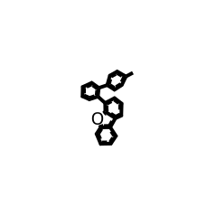 Cc1ccc(-c2ccccc2-c2cccc3c2oc2ccccc23)cc1